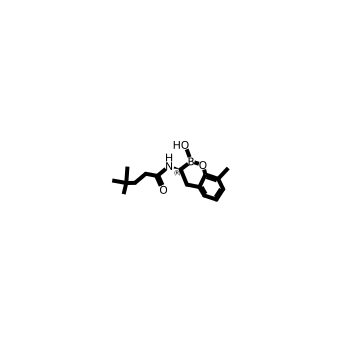 Cc1cccc2c1OB(O)[C@@H](NC(=O)CCC(C)(C)C)C2